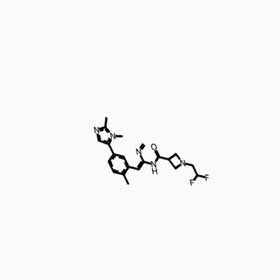 C=N/C(=C\c1cc(-c2cnc(C)n2C)ccc1C)NC(=O)C1CN(CC(F)F)C1